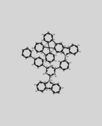 c1ccc(-c2ccc(-c3nc(-c4cccc(-n5c6ccccc6c6cc7c(cc65)C5(c6ccccc6-c6ccccc65)c5ccccc5-7)c4)nc(-n4c5ccccc5c5ccccc54)n3)cc2)cc1